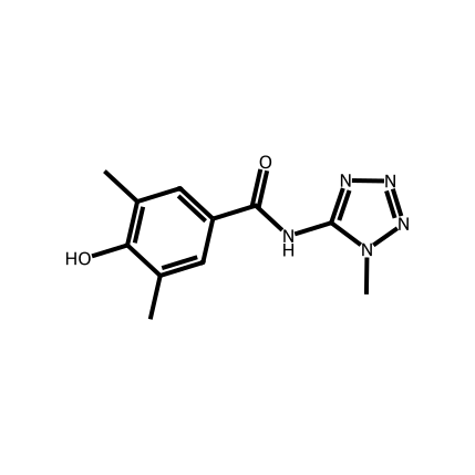 Cc1cc(C(=O)Nc2nnnn2C)cc(C)c1O